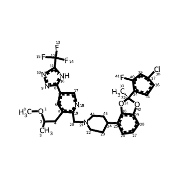 COC(C)Cc1cc(-c2nnc(C(F)(F)F)[nH]2)cnc1CN1CCC(c2cccc3c2O[C@@](C)(c2ccc(Cl)cc2F)O3)CC1